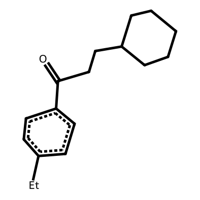 CCc1ccc(C(=O)CCC2CCCCC2)cc1